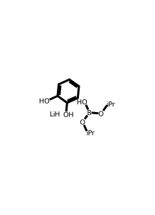 CC(C)OB(O)OC(C)C.Oc1ccccc1O.[LiH]